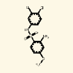 COc1ccc(S(=O)(=O)Nc2ccc(Cl)c(Cl)c2)c(N)c1